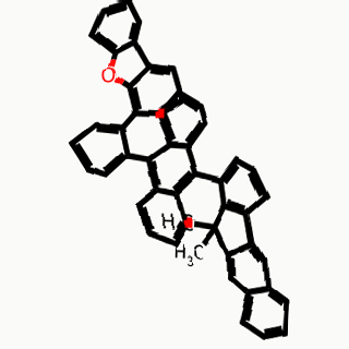 CC1(C)c2cc3ccccc3cc2-c2cccc(-c3c4ccccc4c(-c4ccccc4-c4cccc5c4oc4ccccc45)c4ccccc34)c21